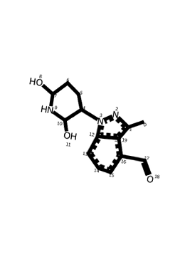 Cc1nn(C2CCC(O)NC2O)c2cccc(C=O)c12